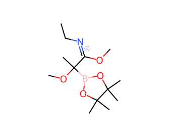 CC/N=C(/OC)C(C)(OC)B1OC(C)(C)C(C)(C)O1